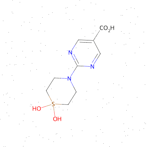 O=C(O)c1cnc(N2CCS(O)(O)CC2)nc1